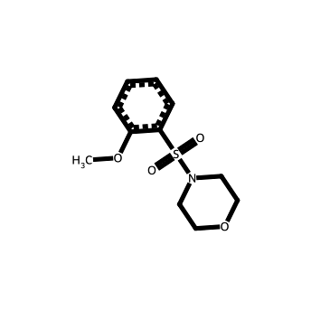 COc1ccccc1S(=O)(=O)N1CCOCC1